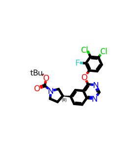 CC(C)(C)OC(=O)N1CC[C@H](c2ccc3ncnc(Oc4ccc(Cl)c(Cl)c4F)c3c2)C1